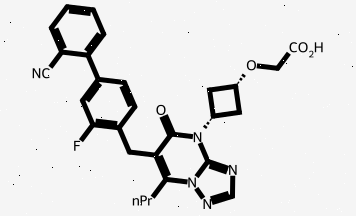 CCCc1c(Cc2ccc(-c3ccccc3C#N)cc2F)c(=O)n([C@H]2C[C@@H](OCC(=O)O)C2)c2ncnn12